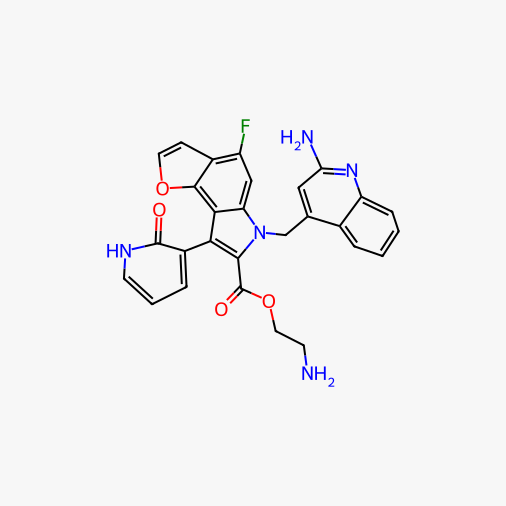 NCCOC(=O)c1c(-c2ccc[nH]c2=O)c2c3occc3c(F)cc2n1Cc1cc(N)nc2ccccc12